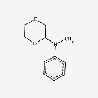 CN(c1ccccc1)C1COCCO1